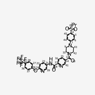 CC(C)S(=O)(=O)c1ccc(N2CCN(C(=O)c3ccc(C(=O)Nc4ccc(Oc5ccc(S(F)(F)(F)(F)F)cc5)nc4)nc3)CC2)cc1